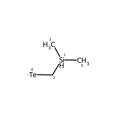 C[SiH](C)C[Te]